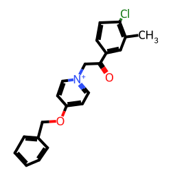 Cc1cc(C(=O)C[n+]2ccc(OCc3ccccc3)cc2)ccc1Cl